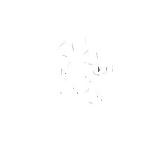 C[C@@H]1C[C@H](N)CN(c2cc(CO)ncc2NC(=O)c2ccc(F)c(-c3c(F)cccc3F)c2F)C1.Cl.Cl